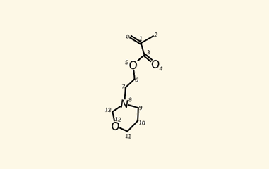 C=C(C)C(=O)OCCN1CCCOC1